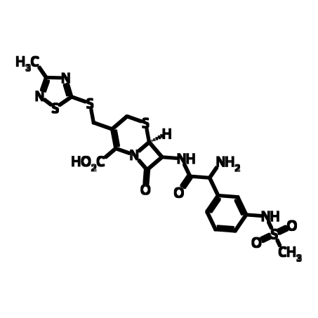 Cc1nsc(SCC2=C(C(=O)O)N3C(=O)C(NC(=O)C(N)c4cccc(NS(C)(=O)=O)c4)[C@@H]3SC2)n1